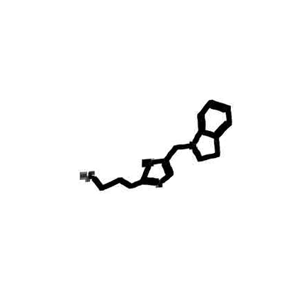 CCCCc1ncc(CN2CCc3ccccc32)[nH]1